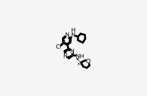 Clc1cnc(NC2CCCCC2)cc1-c1cncc(NC[C@H]2CCCOC2)n1